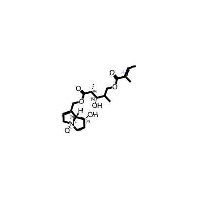 C/C=C(\C)C(=O)OCC(C)[C@H](O)[C@@H](C)C(=O)OCC1=CC[N+]2([O-])CC[C@@H](O)[C@@H]12